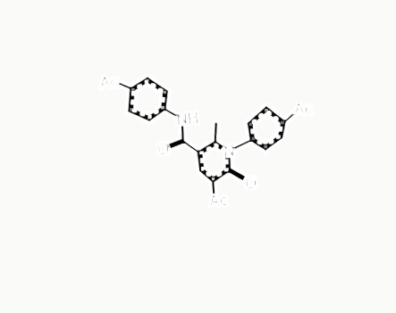 CC(=O)c1ccc(NC(=O)c2cc(C(C)=O)c(=O)n(-c3ccc(C(C)=O)cc3)c2C)cc1